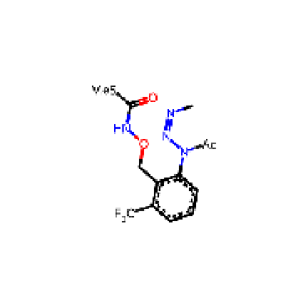 C/N=N\N(C(C)=O)c1cccc(C(F)(F)F)c1CONC(=O)SC